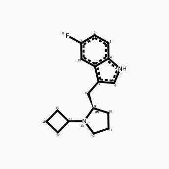 Fc1ccc2[nH]cc(C[C@H]3CCCN3C3CCC3)c2c1